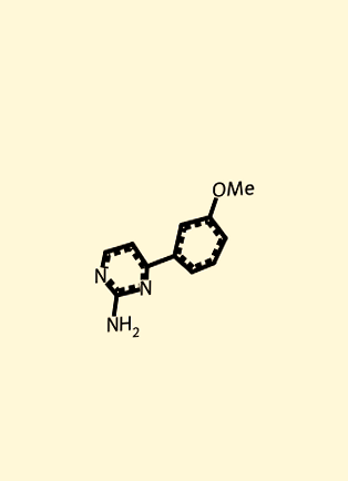 COc1cccc(-c2ccnc(N)n2)c1